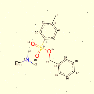 CCN(C)C.Cc1ccc(S(=O)(=O)OCc2ccccc2)cc1